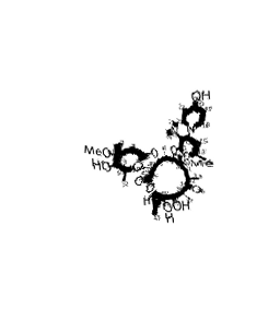 CO[C@]1(C)C[C@H](O[C@H]2[C@H](C)[C@@H](O[C@@H]3O[C@H](C)C[C@@H](N4CCC(O)CC4)[C@@H]3N(C)C)[C@@](C)(OC)C[C@@H](C)C(=O)[C@H](C)[C@@H](O)[C@@]3(O)C(C)[C@H]3OC(=O)[C@@H]2C)O[C@@H](C)[C@@H]1O